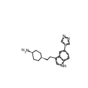 N[C@H]1CC[C@@H](CCc2c[nH]c3ccc(-n4cnnc4)cc23)CC1